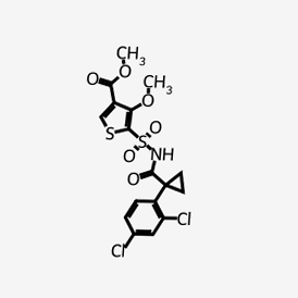 COC(=O)c1csc(S(=O)(=O)NC(=O)C2(c3ccc(Cl)cc3Cl)CC2)c1OC